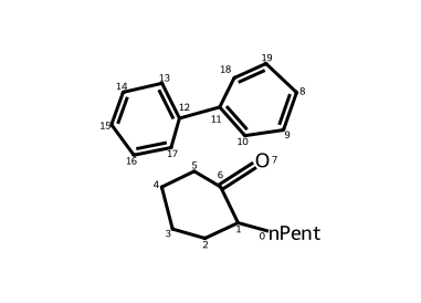 CCCCCC1CCCCC1=O.c1ccc(-c2ccccc2)cc1